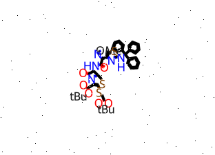 CON=C(C(=O)NC1C(=O)N2C(C(=O)OC(C)(C)C)=C(SCC(=O)OC(C)(C)C)SCC12)c1csc(NC(c2ccccc2)(c2ccccc2)c2ccccc2)n1